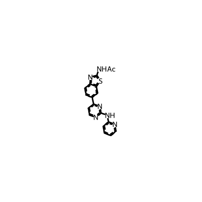 CC(=O)Nc1nc2ccc(-c3ccnc(Nc4ccccn4)n3)cc2s1